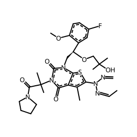 C=NN(/N=C\C)c1sc2c(c1C)c(=O)n(C(C)(C)C(=O)N1CCCC1)c(=O)n2C[C@H](OCC(C)(C)O)c1cc(F)ccc1OC